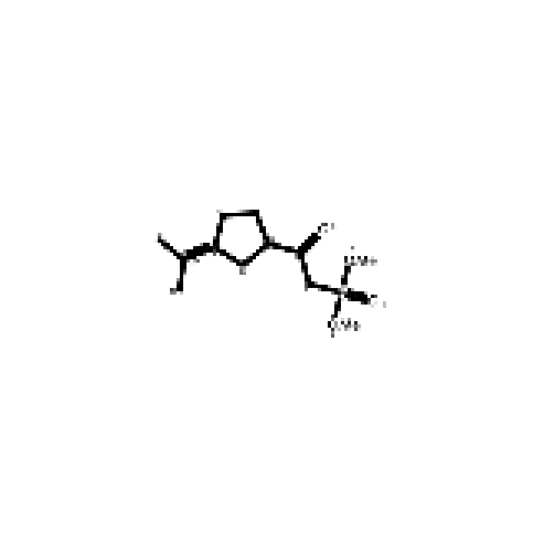 COP(=O)(CC(=O)C1CCC(=C(C)C)C1)OC